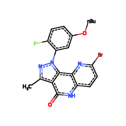 CCCCOc1ccc(F)c(-n2nc(C)c3c(=O)[nH]c4ccc(Br)nc4c32)c1